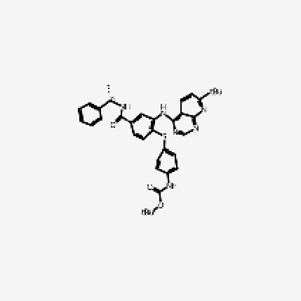 C[C@H](NC(=O)c1ccc(Sc2ccc(NC(=O)OC(C)(C)C)cc2)c(Nc2ncnc3nc(C(C)(C)C)ccc23)c1)c1ccccc1